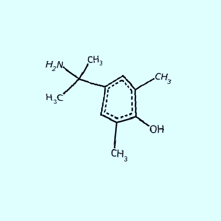 Cc1cc(C(C)(C)N)cc(C)c1O